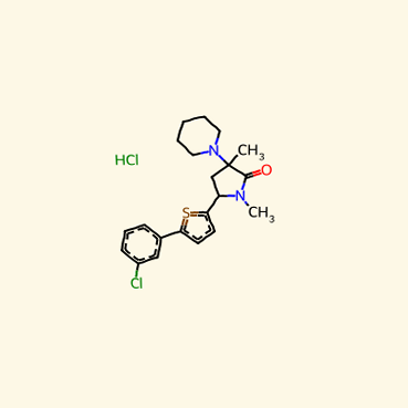 CN1C(=O)C(C)(N2CCCCC2)CC1c1ccc(-c2cccc(Cl)c2)s1.Cl